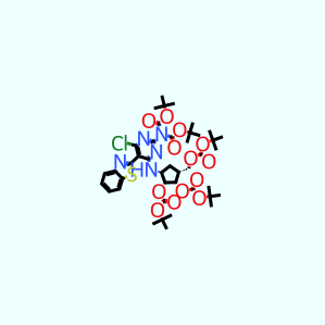 CC(C)(C)OC(=O)OC[C@H]1C[C@@H](Nc2nc(N(C(=O)OC(C)(C)C)C(=O)OC(C)(C)C)nc(Cl)c2-c2nc3ccccc3s2)[C@H](OC(=O)OC(C)(C)C)[C@@H]1OC(=O)OC(C)(C)C